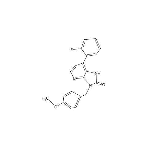 COc1ccc(Cn2c(=O)[nH]c3c(-c4ccccc4F)ccnc32)cc1